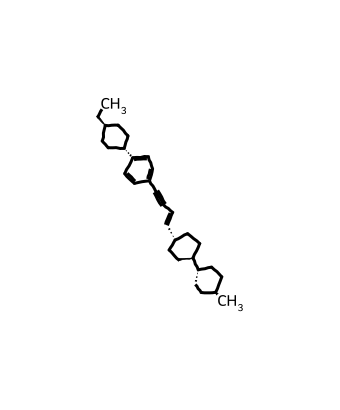 CC[C@H]1CC[C@H](c2ccc(C#CC=C[C@H]3CC[C@H]([C@H]4CC[C@H](C)CC4)CC3)cc2)CC1